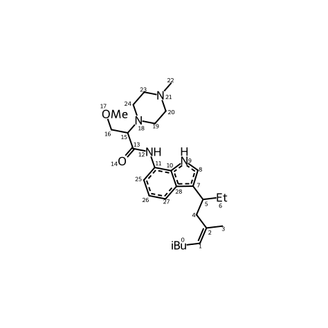 CCC(C)/C=C(/C)CC(CC)c1c[nH]c2c(NC(=O)C(COC)N3CCN(C)CC3)cccc12